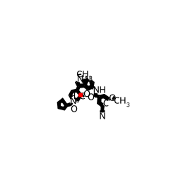 COc1cc(C#N)cc(C(=O)Nc2cnc3c(c(C4CCN(C(=O)C5CCCC5)CC4)cn3C)c2OC)c1